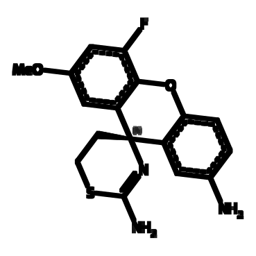 COc1cc(F)c2c(c1)[C@]1(CCSC(N)=N1)c1cc(N)ccc1O2